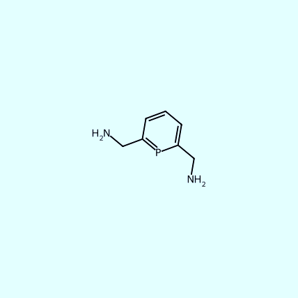 NCc1cccc(CN)p1